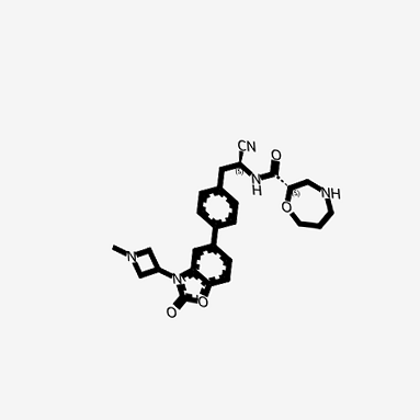 CN1CC(n2c(=O)oc3ccc(-c4ccc(C[C@@H](C#N)NC(=O)[C@@H]5CNCCCO5)cc4)cc32)C1